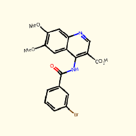 COc1cc2ncc(C(=O)O)c(NC(=O)c3cccc(Br)c3)c2cc1OC